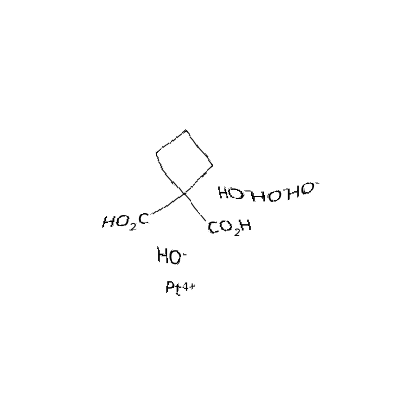 O=C(O)C1(C(=O)O)CCC1.[OH-].[OH-].[OH-].[OH-].[Pt+4]